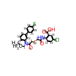 CCN(C(=O)CSCC(=O)Nc1ccc(Cl)cc1C(=O)O)c1cc(-c2ccc(F)cc2)ccc1C